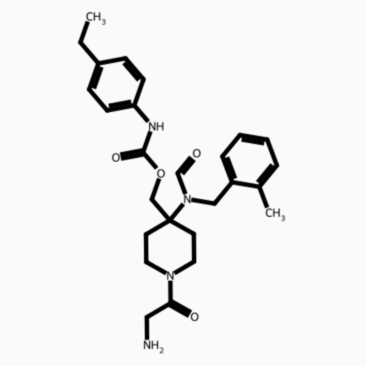 CCc1ccc(NC(=O)OCC2(N(C=O)Cc3ccccc3C)CCN(C(=O)CN)CC2)cc1